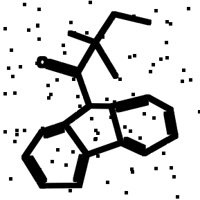 CCC(C)(C)C(=O)C1c2ccccc2-c2ccccc21